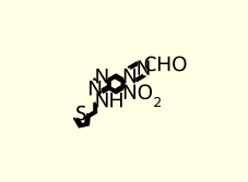 O=CN1CCN(c2cc3ncnc(NCCc4cccs4)c3cc2[N+](=O)[O-])CC1